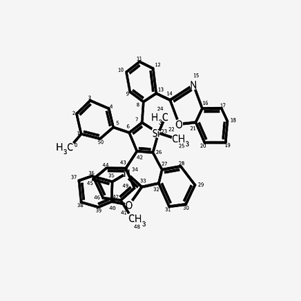 Cc1cccc(C2=C(c3ccccc3-c3nc4ccccc4o3)[Si](C)(C)C(c3ccccc3-c3nc4ccccc4o3)=C2c2cccc(C)c2)c1